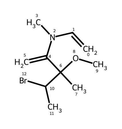 C=CN(C)C(=C)C(C)(OC)C(C)Br